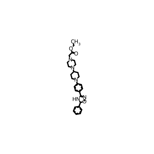 CCOC(=O)CN1CCN(C2CCN(c3ccc(C4=NOC(c5ccccc5)N4)cc3)CC2)CC1